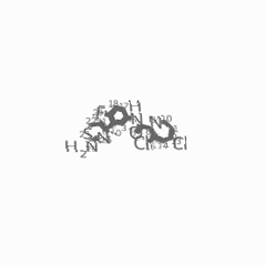 C[C@@]1(c2cc(NC(=O)C3=NCC=C(Cl)C=C3Cl)ccc2F)CCSC(N)=N1